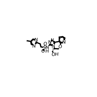 Cc1cnc(CCS(=O)(=O)Nc2nnc3n2[C@@H](CO)COc2ncccc2-3)nc1